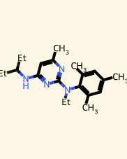 CCC(CC)Nc1cc(C)nc(N(CC)c2c(C)cc(C)cc2C)n1